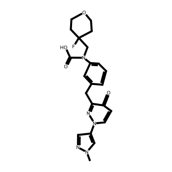 Cn1cc(-n2ccc(=O)c(Cc3cccc(N(CC4(F)CCOCC4)C(=O)O)c3)n2)cn1